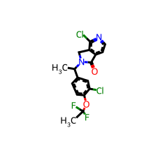 CC(c1ccc(OC(C)(F)F)c(Cl)c1)N1Cc2c(ccnc2Cl)C1=O